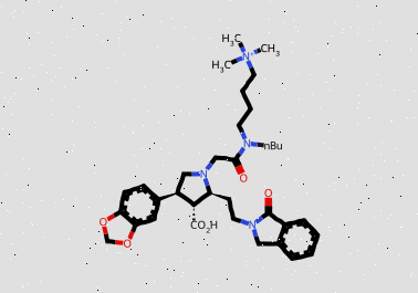 CCCCN(CCCC[N+](C)(C)C)C(=O)CN1C[C@H](c2ccc3c(c2)OCO3)[C@@H](C(=O)O)[C@@H]1CCN1Cc2ccccc2C1=O